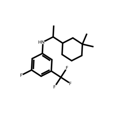 CC(Nc1cc(F)cc(C(F)(F)F)c1)C1CCCC(C)(C)C1